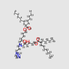 CCCCCCCCC(CCCCCC)C(=O)OCCCCCCN(CCCn1ccnc1)CC(O)CCCCOC(=O)C(CCCCCC)CCCCCCCC